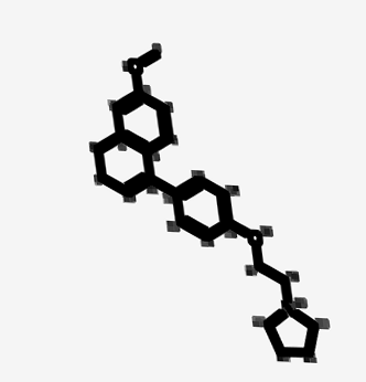 COc1ccc2c(c1)CCC=C2c1ccc(OCCN2CCCC2)cc1